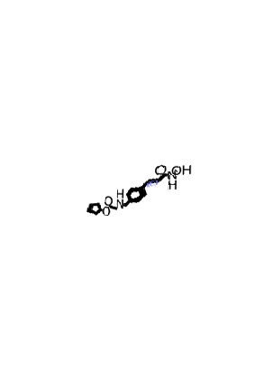 O=C(/C=C/c1ccc(CNCC(=O)OC2CCCC2)cc1)NO